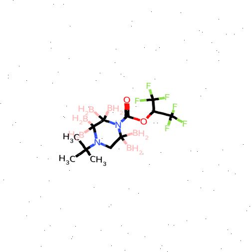 BC1(B)CN(C(C)(C)C)C(B)(B)C(B)(B)N1C(=O)OC(C(F)(F)F)C(F)(F)F